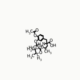 CC(=O)Oc1ccc(CC(N)(C[C@H](C)OC(=O)OC(C)C(C)C)C(=O)O)cc1OC(C)=O